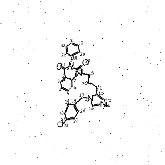 O=c1c2ccccc2n(CCCc2cncn2Cc2ccc(Cl)cc2)c(=O)n1-c1ccccc1